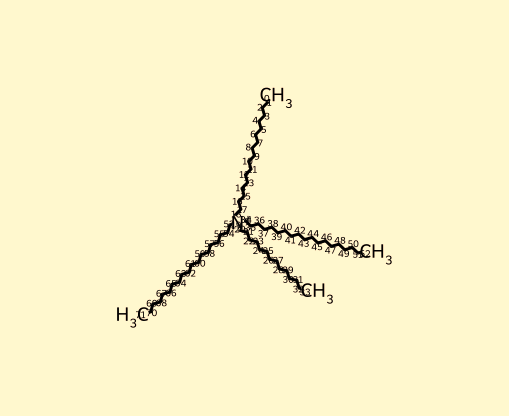 CCCCCCCCCCCCCCCCCCC[N+](CCCCCCCCCCCCCC)(CCCCCCCCCCCCCCCCCCC)CCCCCCCCCCCCCCCCCCC